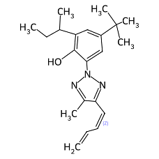 C=C/C=C\c1nn(-c2cc(C(C)(C)C)cc(C(C)CC)c2O)nc1C